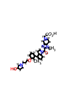 Cc1c(OCCCN2CCC(O)C2)cccc1-c1cccc2c1CCN2C(=O)c1nc2c(n1C)CCN(CC(=O)O)C2